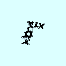 CC(C)(C)OC(=O)N[C@@H](Cc1ccc(OC(F)(F)F)c(Cl)c1)C(=O)O